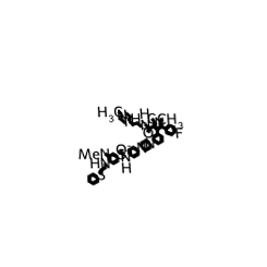 CNc1cc([S+]([O-])Nc2ccc(N3CCN(c4cccc(-c5c(C(=O)NCCCN6CCN(C)CC6)c(C)n(C)c5-c5ccc(F)cc5)c4)CC3)cc2)ccc1NCCSc1ccccc1